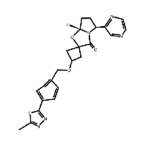 Cc1nnc(-c2ccc(COC3CC4(C3)O[C@@H]3CC[C@@H](c5cnccn5)N3C4=O)cc2)o1